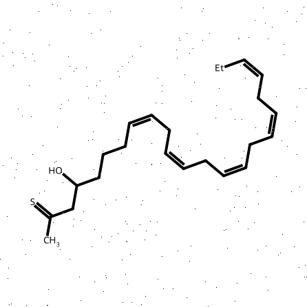 CC/C=C\C/C=C\C/C=C\C/C=C\C/C=C\CCCC(O)CC(C)=S